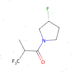 CC(C(=O)N1CC[C@@H](F)C1)C(F)(F)F